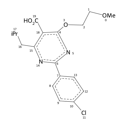 COCCOc1nc(-c2ccc(Cl)cc2)nc(CC(C)C)c1C(=O)O